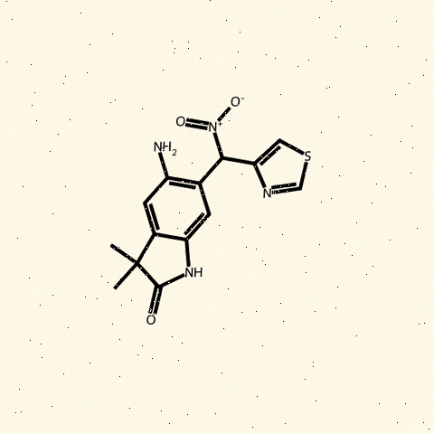 CC1(C)C(=O)Nc2cc(C(c3cscn3)[N+](=O)[O-])c(N)cc21